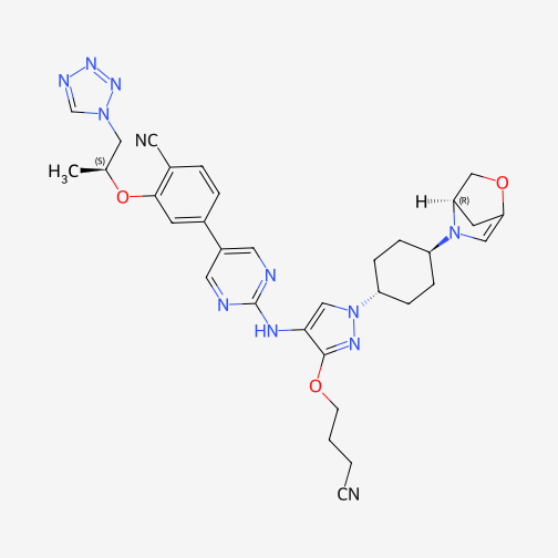 C[C@@H](Cn1cnnn1)Oc1cc(-c2cnc(Nc3cn([C@H]4CC[C@H](N5C=C6C[C@@H]5CO6)CC4)nc3OCCCC#N)nc2)ccc1C#N